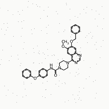 COc1cc2c(N3CCN(C(=O)Nc4ccc(Oc5ccccc5)cc4)CC3)ncnc2cc1OCc1ccccc1